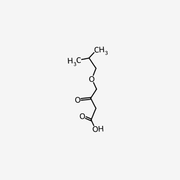 CC(C)COCC(=O)CC(=O)O